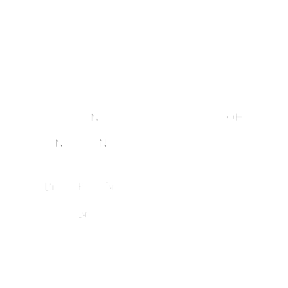 OCc1ccc(-c2cccc3nc([P](Br)(Br)Br)nn23)cc1